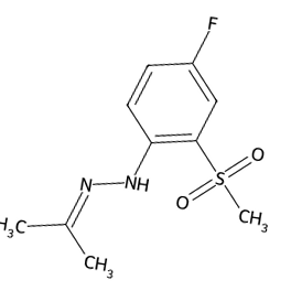 CC(C)=NNc1ccc(F)cc1S(C)(=O)=O